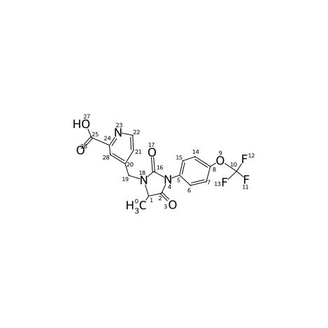 CC1C(=O)N(c2ccc(OC(F)(F)F)cc2)C(=O)N1Cc1ccnc(C(=O)O)c1